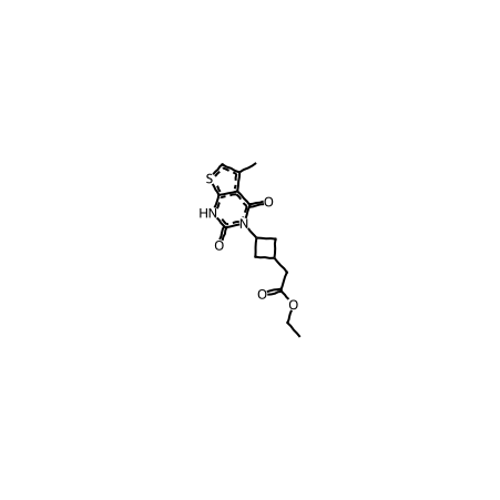 CCOC(=O)CC1CC(n2c(=O)[nH]c3scc(C)c3c2=O)C1